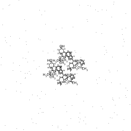 CC(C)n1ncnc1C(=O)N[C@H](c1cn2ncc([C@@H]3C[C@@H](O)CCN3C(=O)OC(C)(C)C)nc2n1)C1CCC(F)(F)CC1.CC(C)n1ncnc1C(=O)N[C@H](c1cn2ncc([C@H]3C[C@@H](O)CCN3C(=O)OC(C)(C)C)nc2n1)C1CCC(F)(F)CC1